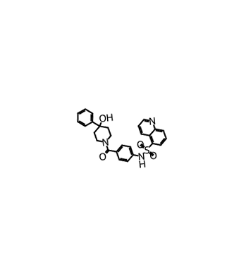 O=C(c1ccc(NS(=O)(=O)c2cccc3ncccc23)cc1)N1CCC(O)(c2ccccc2)CC1